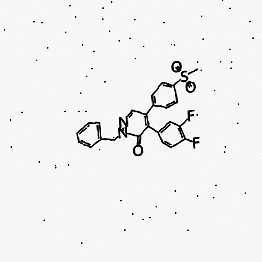 CS(=O)(=O)c1ccc(-c2cnn(Cc3ccccc3)c(=O)c2-c2ccc(F)c(F)c2)cc1